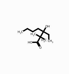 CCCCC(O)(CC)C(C)(C)C(=O)O